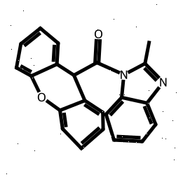 Cc1nc2ccccc2n1C(=O)C1c2ccccc2Oc2ccccc21